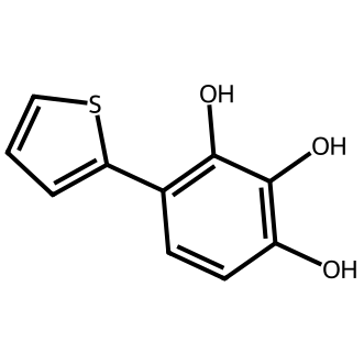 Oc1ccc(-c2cccs2)c(O)c1O